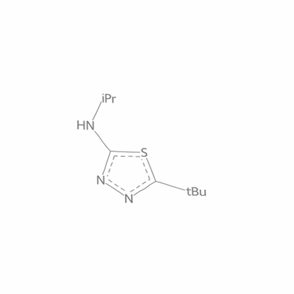 CC(C)Nc1nnc(C(C)(C)C)s1